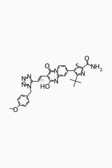 COc1ccc(Cn2nnnc2/C=C/c2c(O)nc3cc(-c4sc(C(N)=O)nc4C(C)(C)C)ccn3c2=O)cc1